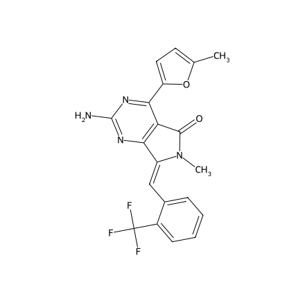 Cc1ccc(-c2nc(N)nc3c2C(=O)N(C)/C3=C\c2ccccc2C(F)(F)F)o1